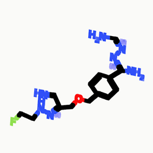 N=C/C(COCc1ccc(/C(N)=N/N=C\N)cc1)=N\NCCF